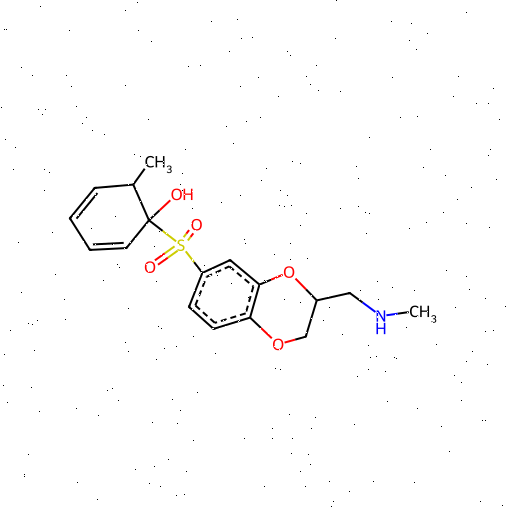 CNCC1COc2ccc(S(=O)(=O)C3(O)C=CC=CC3C)cc2O1